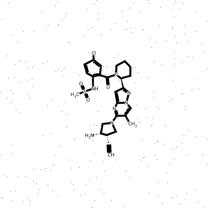 C#C[C@H]1CN(c2nc3cc([C@@H]4CCCCN4C(=O)c4cc(Cl)ccc4NS(C)(=O)=O)nn3cc2C)C[C@H]1N